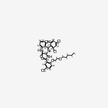 CCCCCOCCOc1ccc(Cl)cc1C(=O)NC1N=C(c2c(Cl)cc(Cl)cc2Cl)c2ccccc2NC1=O